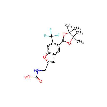 CC1(C)OB(c2cc3cc(CNC(=O)O)oc3cc2C(F)(F)F)OC1(C)C